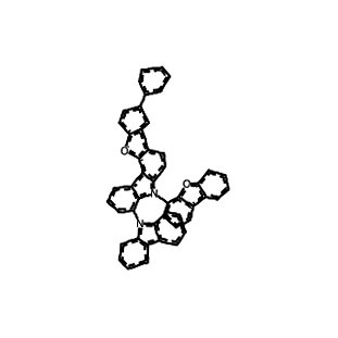 c1ccc(-c2ccc3oc4c(ccc5c4c4cccc(-n6c7ccccc7c7ccccc76)c4n5-c4cccc5c4oc4ccccc45)c3c2)cc1